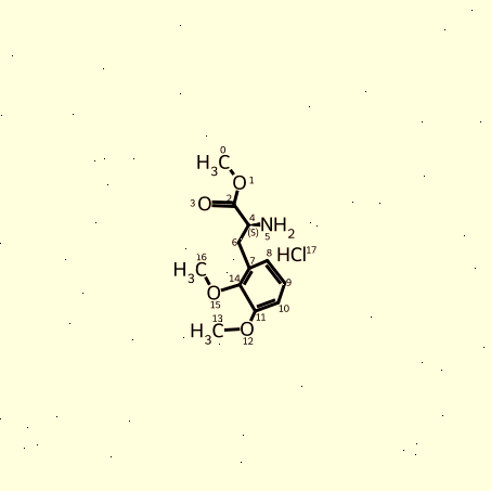 COC(=O)[C@@H](N)Cc1cccc(OC)c1OC.Cl